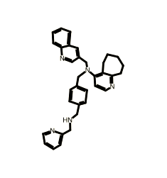 c1ccc(CNCc2ccc(CN(Cc3cnc4ccccc4c3)c3ccnc4c3CCCCC4)cc2)nc1